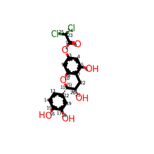 O=C(Oc1cc(O)c2c(c1)O[C@@H](c1ccc(O)c(O)c1)[C@@H](O)C2)C(Cl)Cl